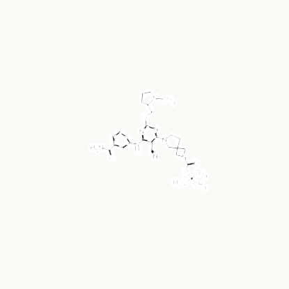 CN1CCCC1COc1nc(Nc2cccc(C(N)=O)c2)c(C#N)c(N2CCC3(CN(C(=O)OC(C)(C)C)C3)C2)n1